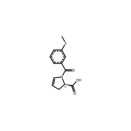 CSc1cccc(C(=O)N2C=CC[C@@H]2C(=O)O)c1